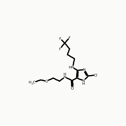 CCOCCNC(=O)c1[nH]c(Cl)nc1NCCCC(F)(F)F